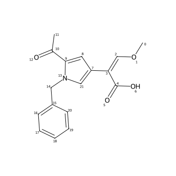 CO/C=C(\C(=O)O)c1cc(C(C)=O)n(Cc2ccccc2)c1